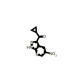 O=C(c1n[nH]c2ncc([N+](=O)[O-])cc12)C1CC1